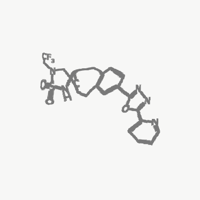 O=S1(=O)NC2(CN1CC(F)(F)F)C1CCC2Cc2cc(-c3nnc(-c4ccccn4)o3)ccc2C1